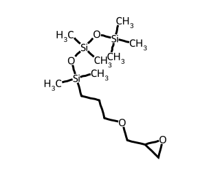 C[Si](C)(C)O[Si](C)(C)O[Si](C)(C)CCCOCC1CO1